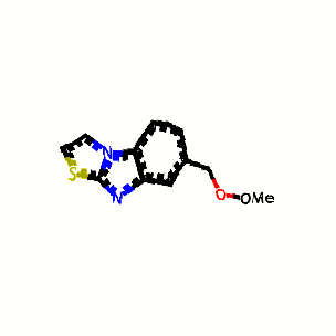 COOCc1ccc2c(c1)nc1sccn12